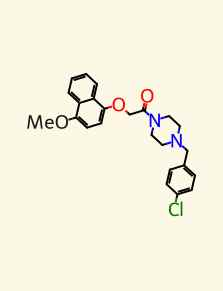 COc1ccc(OCC(=O)N2CCN(Cc3ccc(Cl)cc3)CC2)c2ccccc12